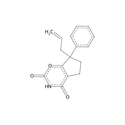 C=CCC1(c2ccccc2)CCc2c1oc(=O)[nH]c2=O